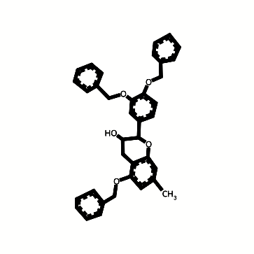 Cc1cc(OCc2ccccc2)c2c(c1)OC(c1ccc(OCc3ccccc3)c(OCc3ccccc3)c1)C(O)C2